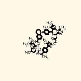 COC(=O)C[C@@H]1N=C(c2ccc(N3CCCc4cc(C(=O)NC(C(=O)N5C[C@H](O)C[C@H]5C(=O)N[C@@H](C)c5ccc(-c6scnc6C)cc5)C(C)(C)C)ccc43)cc2)c2c(sc(C)c2C)-n2c(C)nnc21